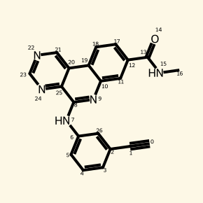 C#Cc1cccc(Nc2nc3cc(C(=O)NC)ccc3c3cncnc23)c1